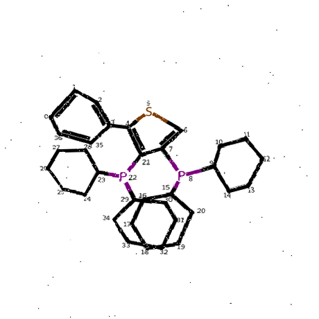 c1ccc(-c2scc(P(C3CCCCC3)C3CCCCC3)c2P(C2CCCCC2)C2CCCCC2)cc1